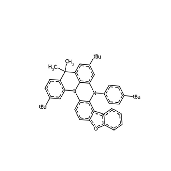 CC(C)(C)c1ccc(N2c3cc(C(C)(C)C)cc4c3B(c3cc(C(C)(C)C)ccc3C4(C)C)c3ccc4oc5ccccc5c4c32)cc1